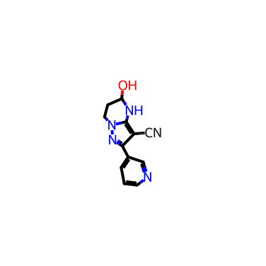 N#Cc1c(-c2cccnc2)nn2c1NC(O)CC2